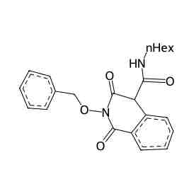 CCCCCCNC(=O)C1C(=O)N(OCc2ccccc2)C(=O)c2ccccc21